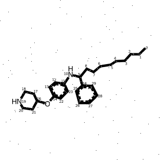 CCCCCCCCCC(Nc1ccc(OC2CCNCC2)cc1)c1ccccc1